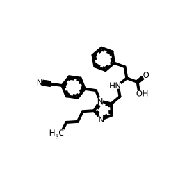 CCCCc1ncc(CNC(Cc2ccccc2)C(=O)O)n1Cc1ccc(C#N)cc1